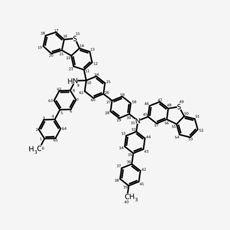 Cc1ccc(-c2ccc(NC3(c4ccc5sc6ccccc6c5c4)C=CC(c4ccc(N(c5ccc(-c6ccc(C)cc6)cc5)c5ccc6sc7ccccc7c6c5)cc4)=CC3)cc2)cc1